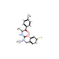 CC(C)C(NC(=O)N(C)CC1=CCC(F)C=C1)C(=O)c1ccc(C#N)cc1